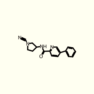 N#CN1CCC(NC(=O)c2ccc(-c3ccccc3)cn2)C1